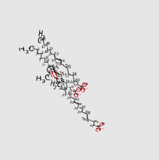 CC(C)[O][Ti+3].CCCCCCCCC=CCCCCCCCC(=O)[O-].CCCCCCCCC=CCCCCCCCC(=O)[O-].CCCCCCCCC=CCCCCCCCC(=O)[O-]